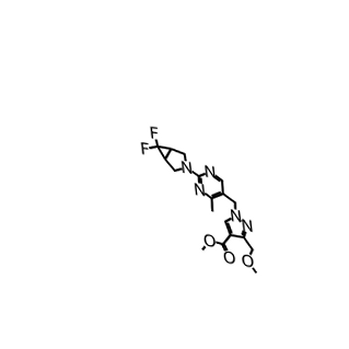 COCc1nn(Cc2cnc(N3CC4C(C3)C4(F)F)nc2C)cc1C(=O)OC